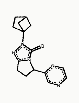 O=c1n(C23CCC(C2)C3)nc2n1C(c1cnccn1)CC2